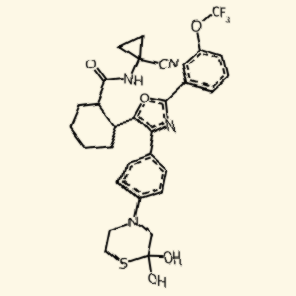 N#CC1(NC(=O)C2CCCCC2c2oc(-c3cccc(OC(F)(F)F)c3)nc2-c2ccc(N3CCSC(O)(O)C3)cc2)CC1